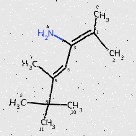 CC(C)=C(N)/C=C(\C)C(C)(C)C